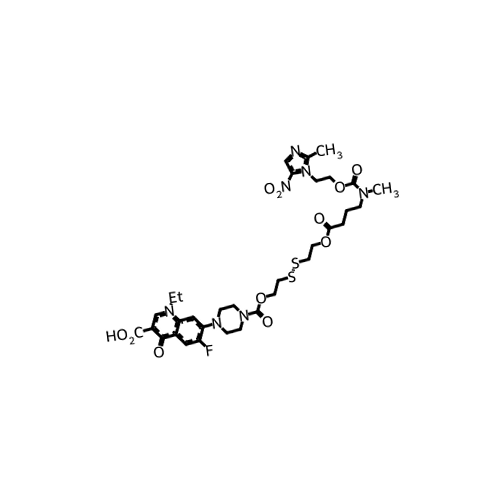 CCn1cc(C(=O)O)c(=O)c2cc(F)c(N3CCN(C(=O)OCCSSCCOC(=O)CCCN(C)C(=O)OCCn4c([N+](=O)[O-])cnc4C)CC3)cc21